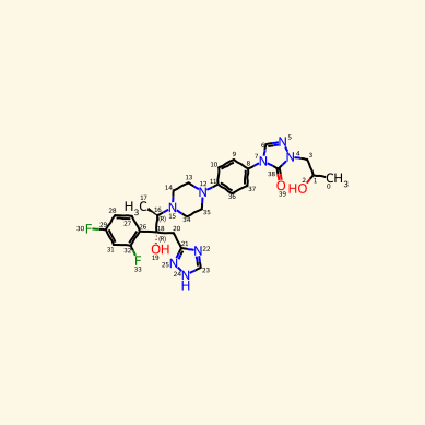 CC(O)Cn1ncn(-c2ccc(N3CCN([C@H](C)[C@@](O)(Cc4nc[nH]n4)c4ccc(F)cc4F)CC3)cc2)c1=O